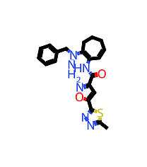 Cc1nnc(-c2cc(C(=O)NC3=C(N(N)Cc4ccccc4)CCCC=C3)no2)s1